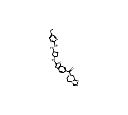 CSc1cnc(NN[C@H]2CC[C@H](Nc3nc4ccc(C(=O)N5CCn6cnnc6C5)cc4s3)C2)nc1